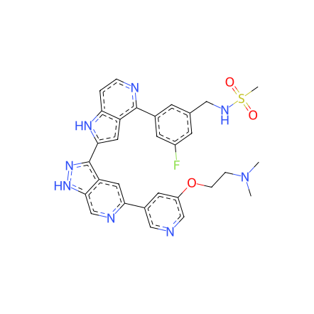 CN(C)CCOc1cncc(-c2cc3c(-c4cc5c(-c6cc(F)cc(CNS(C)(=O)=O)c6)nccc5[nH]4)n[nH]c3cn2)c1